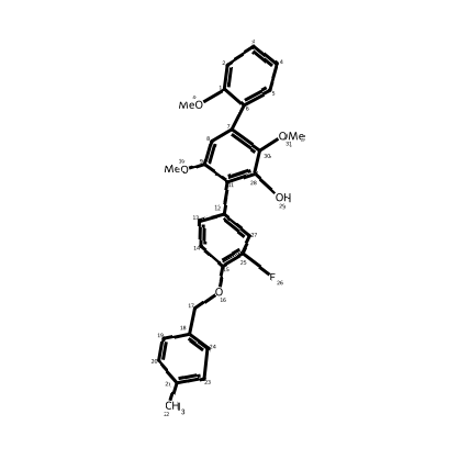 COc1ccccc1-c1cc(OC)c(-c2ccc(OCc3ccc(C)cc3)c(F)c2)c(O)c1OC